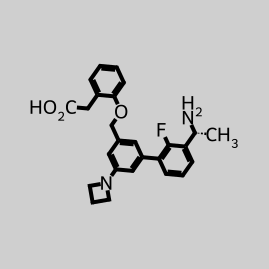 C[C@@H](N)c1cccc(-c2cc(COc3ccccc3CC(=O)O)cc(N3CCC3)c2)c1F